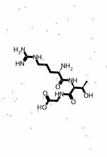 C[C@@H](O)[C@H](NC(=O)[C@@H](N)CCCNC(=N)N)C(=O)NCC(=O)O